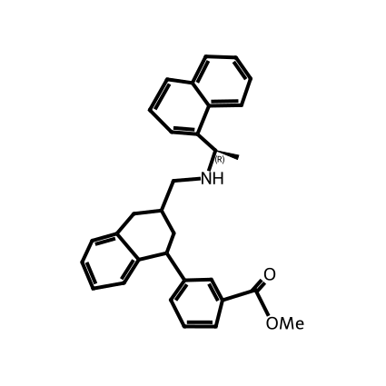 COC(=O)c1cccc(C2CC(CN[C@H](C)c3cccc4ccccc34)Cc3ccccc32)c1